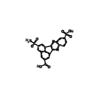 NS(=O)(=O)c1cc2c3c(cc(S(=O)O)cc3c1)-c1nc3ccc(S(=O)(=O)O)cc3nc1-2